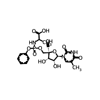 C#C[C@]1(COP(=O)(NC(C)C(=O)O)Oc2ccccc2)O[C@@H](n2cc(C)c(=O)[nH]c2=O)[C@H](O)[C@@H]1O